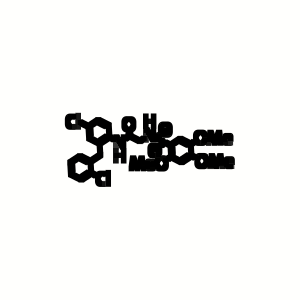 COc1cc(OC)c(S(=O)(=O)NCC(=O)Nc2ccc(Cl)cc2Cc2ccccc2Cl)cc1OC